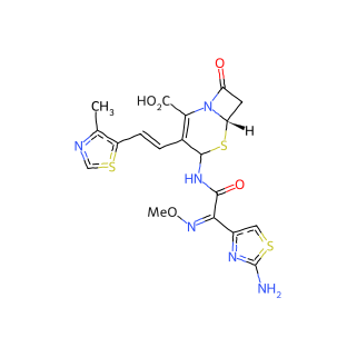 CON=C(C(=O)NC1S[C@H]2CC(=O)N2C(C(=O)O)=C1C=Cc1scnc1C)c1csc(N)n1